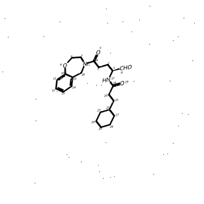 O=C[C@H](CCC(=O)N1CCOc2ccccc2C1)NC(=O)CCC1CCCCC1